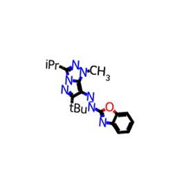 CC(C)c1nn(C)c2c(/N=N/c3nc4ccccc4o3)c(C(C)(C)C)nn12